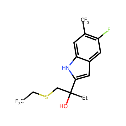 CCC(O)(CSCC(F)(F)F)c1cc2cc(F)c(C(F)(F)F)cc2[nH]1